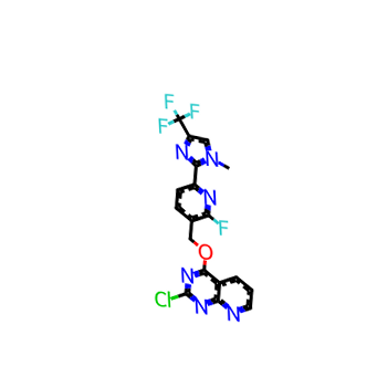 Cn1cc(C(F)(F)F)nc1-c1ccc(COc2nc(Cl)nc3ncccc23)c(F)n1